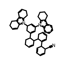 N#CC1C=CC=CC1C1=CC=CCC1C1C=CCCC1C1=CC(n2c3c(c4ccccc42)CCCC3)=CC(n2c3c(c4c2CCC=C4)CCC=C3)C1